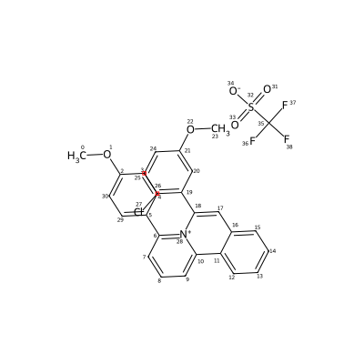 COc1ccc(-c2cccc3c4ccccc4cc(-c4cc(OC)ccc4Cl)[n+]23)cc1.O=S(=O)([O-])C(F)(F)F